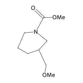 COCC1CCCN(C(=O)OC)C1